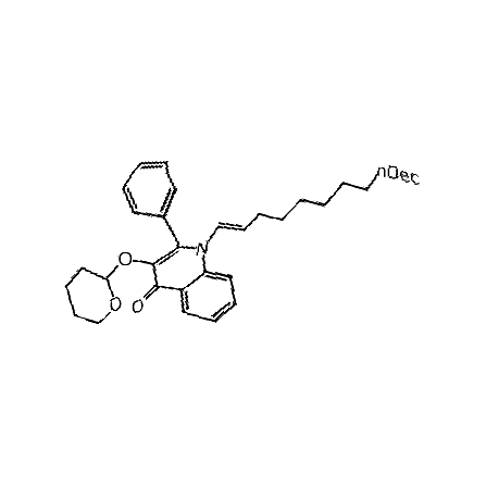 CCCCCCCCCCCCCCCCC=Cn1c(-c2ccccc2)c(OC2CCCCO2)c(=O)c2ccccc21